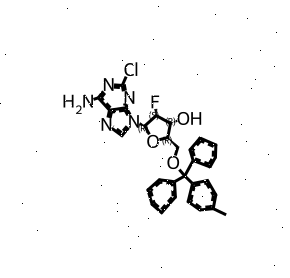 Cc1ccc(C(OC[C@H]2O[C@@H](n3cnc4c(N)nc(Cl)nc43)[C@@H](F)[C@@H]2O)(c2ccccc2)c2ccccc2)cc1